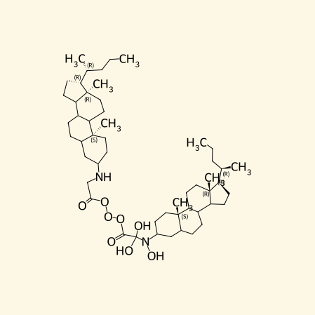 CCC[C@@H](C)[C@H]1CCC2C3CCC4CC(NCC(=O)OOOC(=O)C(O)(O)N(O)C5CC[C@@]6(C)C(CCC7C6CC[C@@]6(C)C7CC[C@@H]6[C@H](C)CCC)C5)CC[C@]4(C)C3CC[C@@]21C